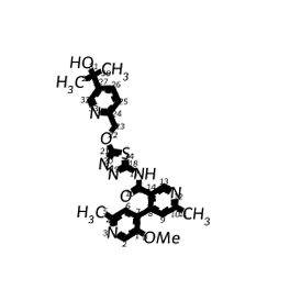 COc1cnc(C)cc1-c1cc(C)ncc1C(=O)Nc1nnc(OCc2ccc(C(C)(C)O)cn2)s1